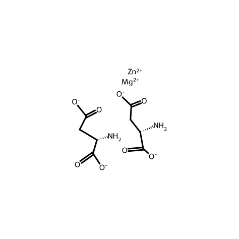 N[C@@H](CC(=O)[O-])C(=O)[O-].N[C@@H](CC(=O)[O-])C(=O)[O-].[Mg+2].[Zn+2]